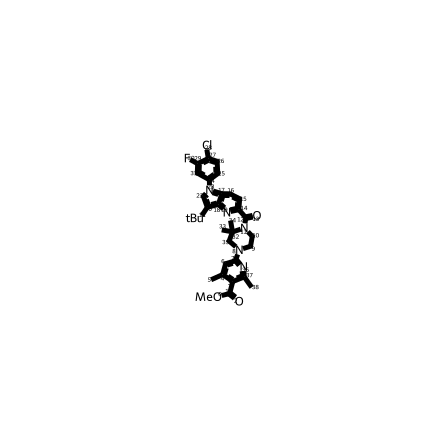 COC(=O)c1c(C)cc(N2CCN(C(=O)c3ccc4c(n3)c(C(C)(C)C)cn4-c3ccc(Cl)c(F)c3)C(C)(C)C2)nc1C